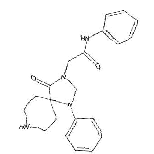 O=C(CN1CN(c2ccccc2)C2(CCNCC2)C1=O)Nc1ccccc1